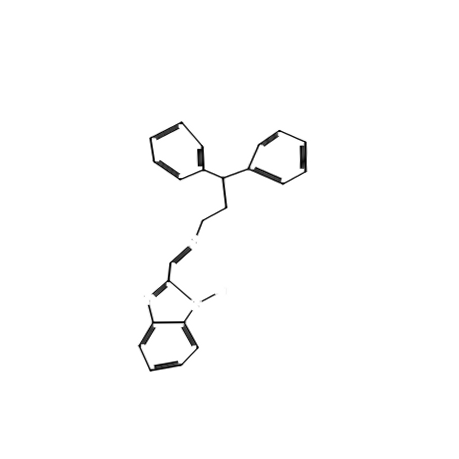 Cn1c(/C=N/CCC(c2ccccc2)c2ccccc2)nc2ccccc21